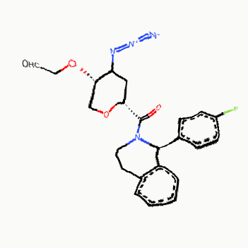 [N-]=[N+]=NC1C[C@H](C(=O)N2CCc3ccccc3[C@@H]2c2ccc(F)cc2)OC[C@@H]1OCC=O